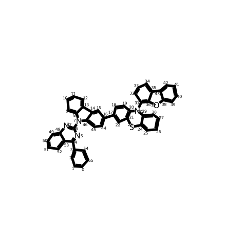 c1ccc(-c2nc(-n3c4ccccc4c4cc(-c5ccc6c(c5)Sc5ccccc5N6c5cccc6c5oc5ccccc56)ccc43)nc3ccccc23)cc1